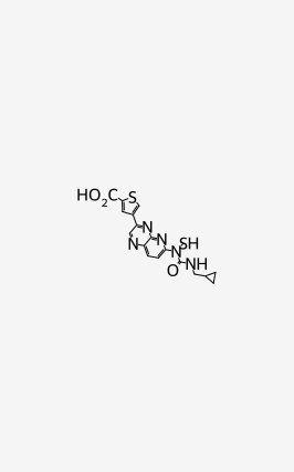 O=C(O)c1cc(-c2cnc3ccc(N(S)C(=O)NCC4CC4)nc3n2)cs1